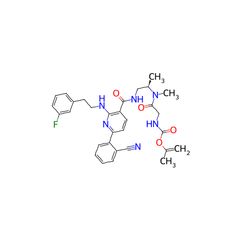 C=C(C)OC(=O)NCC(=O)N(C)[C@H](C)CNC(=O)c1ccc(-c2ccccc2C#N)nc1NCCc1cccc(F)c1